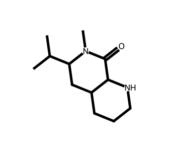 CC(C)C1CC2CCCNC2C(=O)N1C